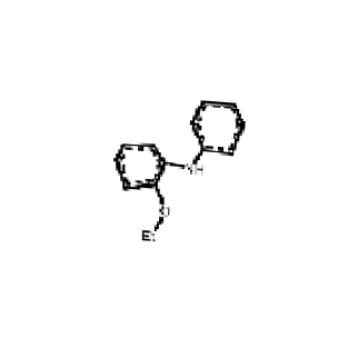 CCOc1ccccc1Nc1ccccc1